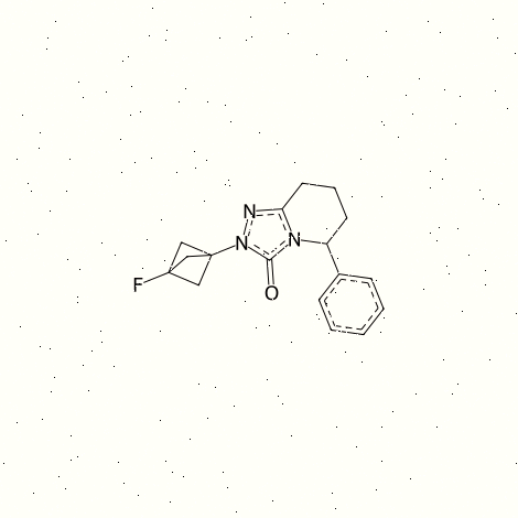 O=c1n(C23CC(F)(C2)C3)nc2n1C(c1ccccc1)CCC2